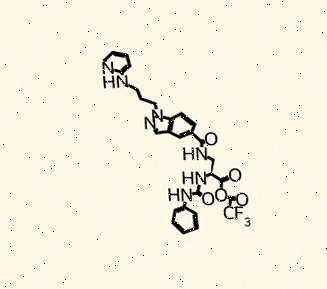 O=C(Nc1ccccc1)N[C@@H](CNC(=O)c1ccc2c(cnn2CCCNc2ccccn2)c1)C(=O)OC(=O)C(F)(F)F